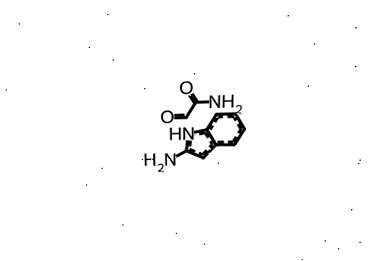 NC(=O)C=O.Nc1cc2ccccc2[nH]1